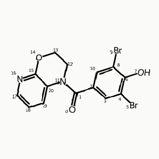 O=C(c1cc(Br)c(O)c(Br)c1)N1CCOc2ncccc21